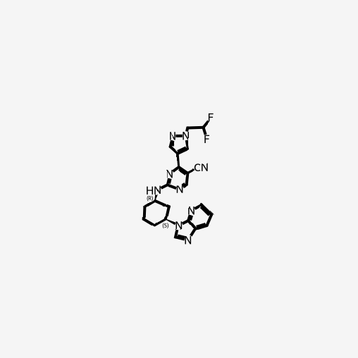 N#Cc1cnc(N[C@@H]2CCC[C@H](n3cnc4cccnc43)C2)nc1-c1cnn(CC(F)F)c1